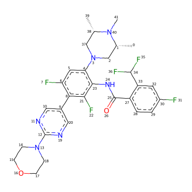 C[C@@H]1CN(c2cc(F)c(-c3cnc(N4CCOCC4)nc3)c(F)c2NC(=O)c2ccc(F)cc2C(F)F)C[C@H](C)N1C